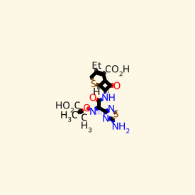 CCC1=C(C(=O)O)C2C(=O)[C@@H](NC(=O)/C(=N\OC(C)(C)C(=O)O)c3nsc(N)n3)[C@H]2SC1